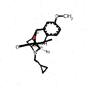 COc1ccc2c(c1)[C@@]13CCC(=O)C[C@@]1(O)[C@@H]1N(CC4CC4)C4CC3C41C2